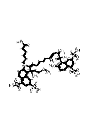 C=C(/C=C/C=C/C=C/C=C1/N(CCCCCC(=O)O)c2ccc3c(S(=O)(=O)O)cc(S(=O)(=O)O)cc3c2C1(C)CCOC)C(C)(C)c1c(C)ccc2c(S(=O)(=O)O)cc(S(=O)(=O)O)cc12